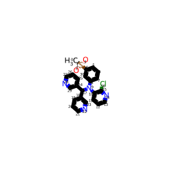 CS(=O)(=O)c1cccc(N(c2cccnc2Cl)C(c2cccnc2)c2cccnc2)c1